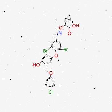 CC(ON=Cc1cc(Br)c(Oc2ccc(O)c(COc3ccc(Cl)cc3)c2)c(Br)c1)C(=O)O